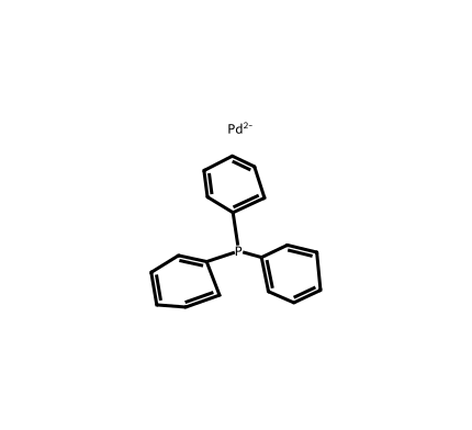 [Pd-2].c1ccc(P(c2ccccc2)c2ccccc2)cc1